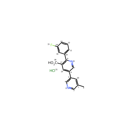 Cc1cncc(-c2cnc(-c3cccc(F)c3)c(C(=O)O)c2)c1.Cl